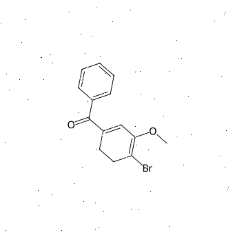 COC1=C(Br)C[CH]C(C(=O)c2ccccc2)=C1